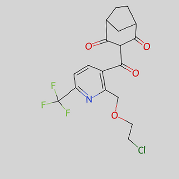 O=C(c1ccc(C(F)(F)F)nc1COCCCl)C1C(=O)C2CCC(C2)C1=O